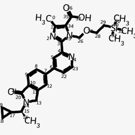 Cc1nc(-c2cc(-c3ccc4c(c3)CN([C@@H](C)C3CC3)C4=O)ccn2)n(COCC[Si](C)(C)C)c1C(=O)O